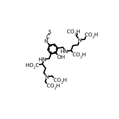 O=C(O)CN(CCC(NCc1cc(N=C=S)cc(CNC(CCN(CC(=O)O)CC(=O)O)C(=O)O)c1O)C(=O)O)CC(=O)O